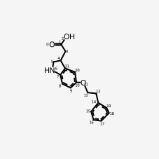 O=C(O)CC1CNc2ccc(OCCc3ccccc3)cc21